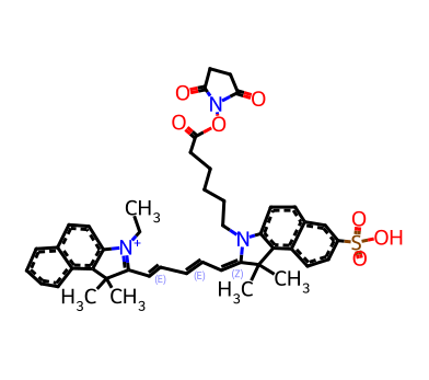 CC[N+]1=C(/C=C/C=C/C=C2\N(CCCCCC(=O)ON3C(=O)CCC3=O)c3ccc4cc(S(=O)(=O)O)ccc4c3C2(C)C)C(C)(C)c2c1ccc1ccccc21